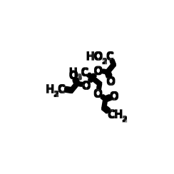 C=CC(=O)OCC(C)(OC(=O)C=C)OC(=O)CC(=O)O